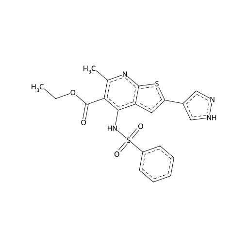 CCOC(=O)c1c(C)nc2sc(-c3cn[nH]c3)cc2c1NS(=O)(=O)c1ccccc1